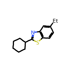 CCc1ccc2sc(C3CCCCC3)nc2c1